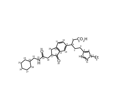 CCn1cc(CCC(CC(=O)O)c2ccc3c(c2)C(=O)C(CC(=O)NCC2CCCCC2)C3)nn1